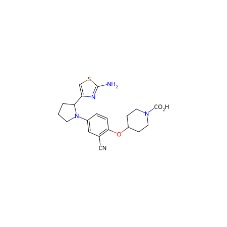 N#Cc1cc(N2CCCC2c2csc(N)n2)ccc1OC1CCN(C(=O)O)CC1